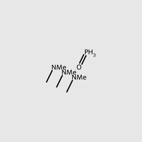 CNC.CNC.CNC.O=[PH3]